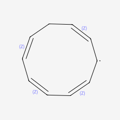 [CH]1\C=C/C=C\C=C/C/C=C\1